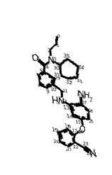 CCCN(C(=O)c1cccc(CNc2cc(Oc3ccccc3C#N)ccc2N)c1)C1CCCCC1